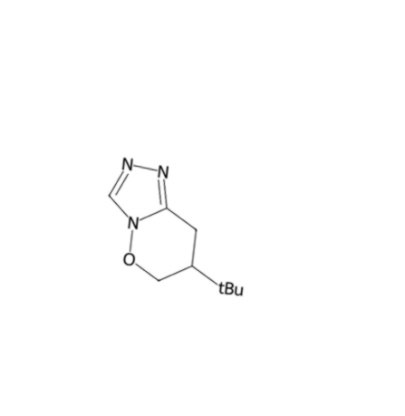 CC(C)(C)C1COn2cnnc2C1